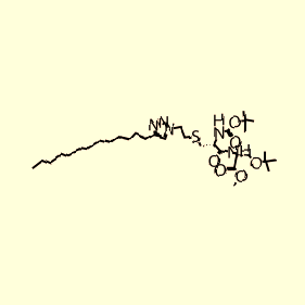 CCCCCCCCCCCCCc1cn(CCSC[C@H](NC(=O)OC(C)(C)C)C(=O)N[C@@H](COC(C)(C)C)C(=O)OC)nn1